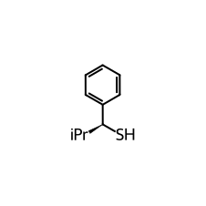 CC(C)[C@H](S)c1ccccc1